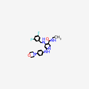 CCNC(=O)c1cnc(Nc2ccc(N3CCOCC3)cc2)cc1NCc1cc(F)cc(F)c1